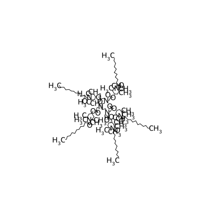 CCCCCCCCCCCC(=O)N1C(C)(C)CC(OC(=O)CN(CCN(CC(=O)OC2CC(C)(C)N(C(=O)CCCCCCCCCCC)C(C)(C)C2)CC(=O)OC2CC(C)(C)N(C(=O)CCCCCCCCCCC)C(C)(C)C2)CCN(CC(=O)OC2CC(C)(C)N(C(=O)CCCCCCCCCCC)C(C)(C)C2)CC(=O)OC2CC(C)(C)N(C(=O)CCCCCCCCCCC)C(C)(C)C2)CC1(C)C